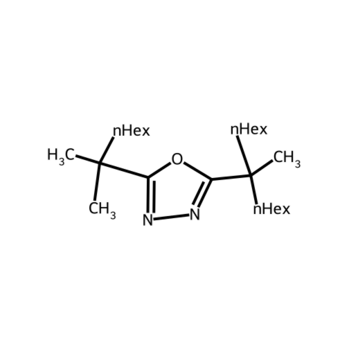 CCCCCCC(C)(C)c1nnc(C(C)(CCCCCC)CCCCCC)o1